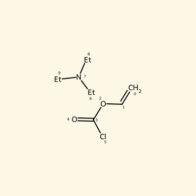 C=COC(=O)Cl.CCN(CC)CC